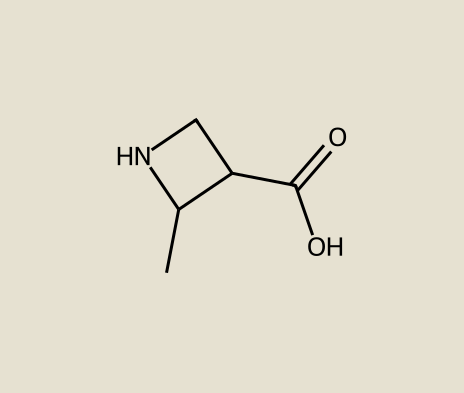 CC1NCC1C(=O)O